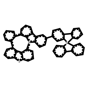 c1ccc2c(c1)-c1ccccc1[Si]21c2ccccc2-c2ccc(-c3ccc4c(c3)c3cccc5c6ccccc6c6cccc7sc8cccc(c8c76)n4c53)cc21